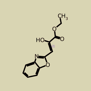 CCOC(=O)/C(O)=C/c1nc2ccccc2o1